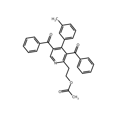 CC(=O)OCCc1ncc(C(=O)c2ccccc2)c(-c2cccc(C)c2)c1C(=O)c1ccccc1